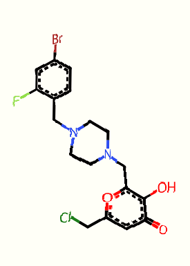 O=c1cc(CCl)oc(CN2CCN(Cc3ccc(Br)cc3F)CC2)c1O